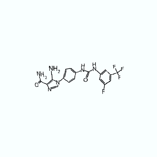 NC(=O)c1ncn(-c2ccc(NC(=O)Nc3cc(F)cc(C(F)(F)F)c3)cc2)c1N